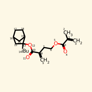 C=C(C)C(=O)OCCC(=C)C(=O)OC1(C(C)CC)CC2CCC1C2